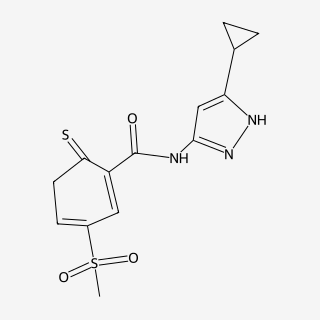 CS(=O)(=O)C1=CCC(=S)C(C(=O)Nc2cc(C3CC3)[nH]n2)=C1